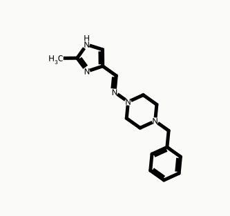 Cc1nc(C=NN2CCN(Cc3ccccc3)CC2)c[nH]1